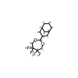 FC1(F)COC(C2CC3CCCC(C3)C2)OCC1(F)F